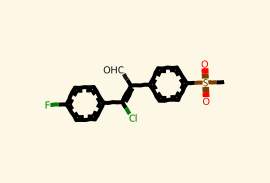 CS(=O)(=O)c1ccc(/C(C=O)=C(\Cl)c2ccc(F)cc2)cc1